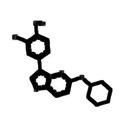 COc1ccc(-c2cnc3ccc(OC4CCCCC4)nn23)cc1Cl